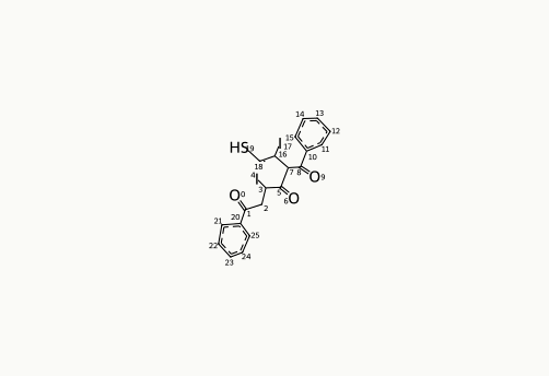 O=C(CC(I)C(=O)C(C(=O)c1ccccc1)C(I)[CH]S)c1ccccc1